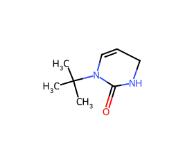 CC(C)(C)N1C=CCNC1=O